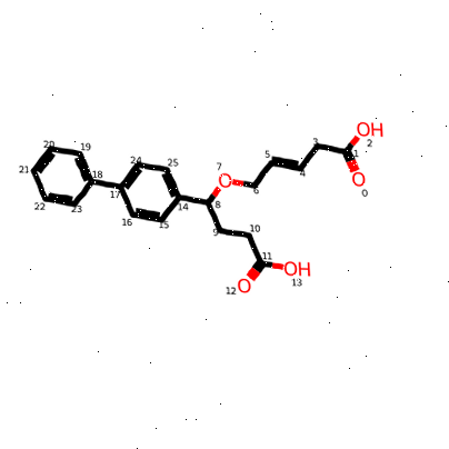 O=C(O)C/C=C/COC(CCC(=O)O)c1ccc(-c2ccccc2)cc1